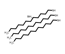 CCCCCCCCCCCCS.CCCCCCCCCCCCS.CCCCCCCCCCCCS.[BiH3]